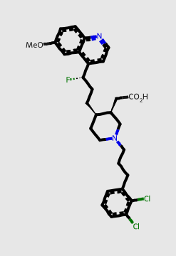 COc1ccc2nccc([C@@H](F)CC[C@@H]3CCN(CCCc4cccc(Cl)c4Cl)C[C@@H]3CC(=O)O)c2c1